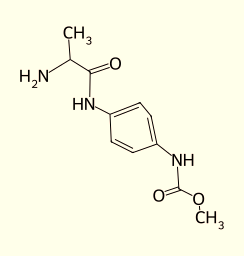 COC(=O)Nc1ccc(NC(=O)C(C)N)cc1